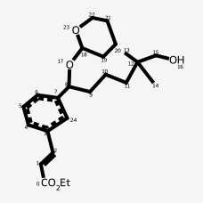 CCOC(=O)C=Cc1cccc(C(CCCC(C)(C)CO)OC2CCCCO2)c1